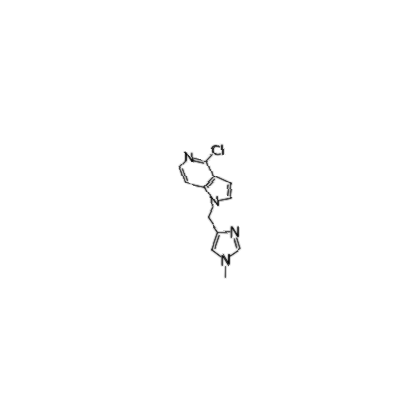 Cn1cnc(Cn2ccc3c(Cl)nccc32)c1